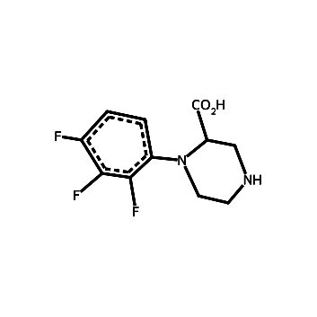 O=C(O)C1CNCCN1c1ccc(F)c(F)c1F